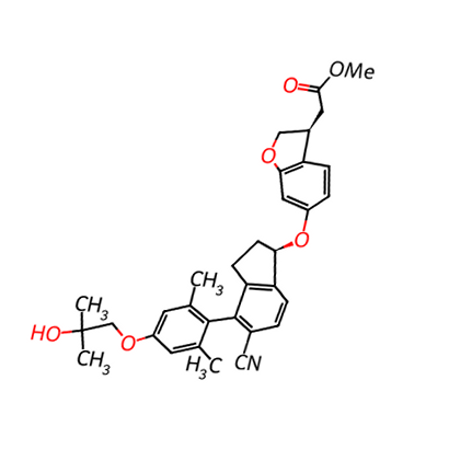 COC(=O)C[C@@H]1COc2cc(O[C@@H]3CCc4c3ccc(C#N)c4-c3c(C)cc(OCC(C)(C)O)cc3C)ccc21